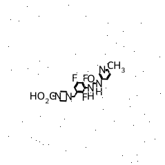 Cc1ccc(NC(=O)Nc2c(F)c(F)cc(CN3CCN(C(=O)O)CC3)c2F)cn1